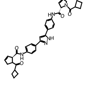 O=C(C1CCC1)C1CC=C[C@H]1C(=O)Nc1ccc(-c2cc(-c3ccc(NC(=O)[C@@H]4C=CCN4C(=O)C4CCC4)cc3)[nH]n2)cc1